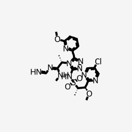 CN/C(=N\C=N)[C@H](C)n1c(NS(=O)(=O)[C@@H](C)[C@H](OC)c2ncc(Cl)cn2)nnc1-c1cccc(OC)n1